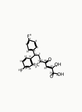 CN(CC(c1ccc(F)cc1)c1ccc(F)cc1)C(=O)C=C(O)C(=O)O